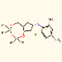 CC(C)[Si]1(C(C)C)OCC2C[C@H](Nc3ccc([N+](=O)[O-])cc3[N+](=O)[O-])[C@H](F)C2O[Si](C(C)C)(C(C)C)O1